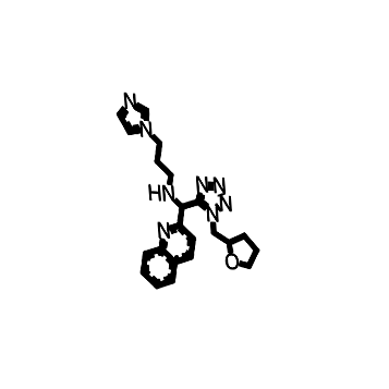 c1ccc2nc(C(NCCCn3ccnc3)c3nnnn3CC3CCCO3)ccc2c1